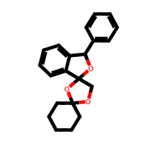 c1ccc(C2OC3(COC4(CCCCC4)O3)c3ccccc32)cc1